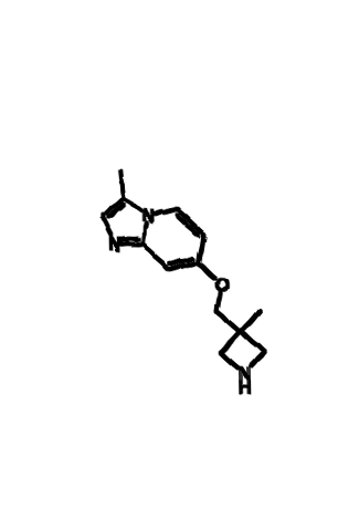 Cc1cnc2cc(OCC3(C)CNC3)ccn12